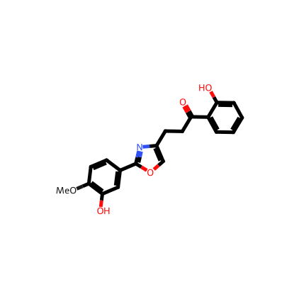 COc1ccc(-c2nc(CCC(=O)c3ccccc3O)co2)cc1O